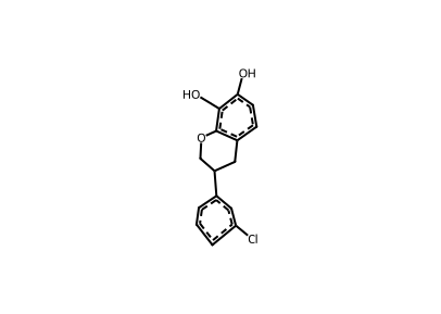 Oc1ccc2c(c1O)OCC(c1cccc(Cl)c1)C2